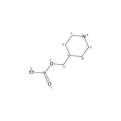 CCC(=O)OCC1CC[N]CC1